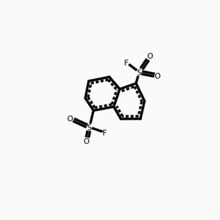 O=S(=O)(F)c1cccc2c(S(=O)(=O)F)cccc12